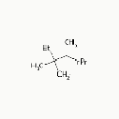 [CH2]C(C)(CC)C(C)CCC